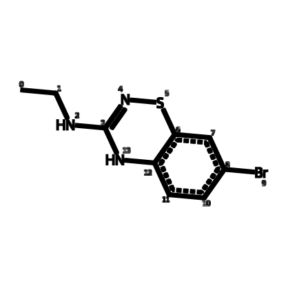 CCNC1=NSc2cc(Br)ccc2N1